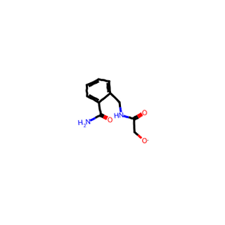 NC(=O)c1ccccc1CNC(=O)C[O]